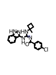 CC1(N/C(=N/C(=O)c2ccc(Cl)cc2)Nc2n[nH]c3ccccc23)CCC1